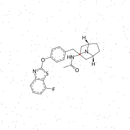 CC(=O)NC1C[C@H]2CC[C@@H](C1)N2CCc1ccc(Oc2nc3cccc(F)c3s2)cc1